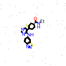 CCNC(=O)[C@H]1CCc2c(sc3ncnc(Nc4ccc5nnsc5c4)c23)C1